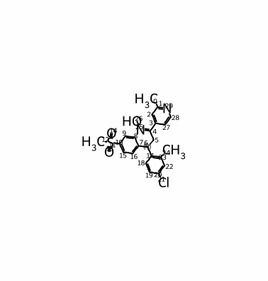 Cc1cc(C(C[C@H](c2ccc(S(C)(=O)=O)cc2)c2ccc(Cl)cc2C)=NO)ccn1